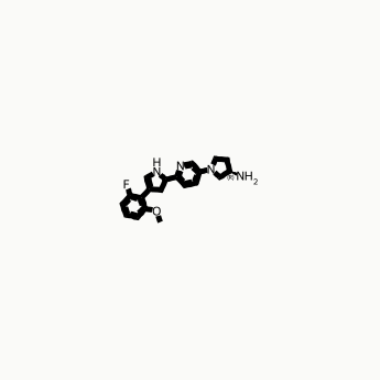 COc1cccc(F)c1C1=CNC(c2ccc(N3CC[C@@H](N)C3)cn2)C1